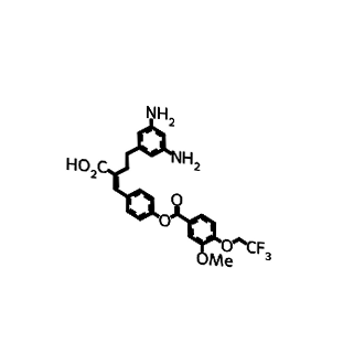 COc1cc(C(=O)Oc2ccc(C=C(CCc3cc(N)cc(N)c3)C(=O)O)cc2)ccc1OCC(F)(F)F